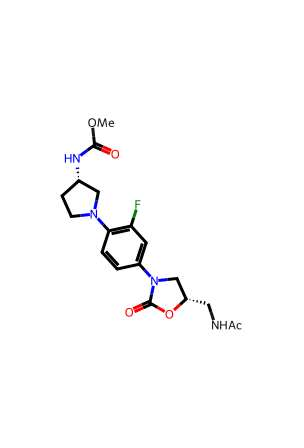 COC(=O)N[C@H]1CCN(c2ccc(N3C[C@H](CNC(C)=O)OC3=O)cc2F)C1